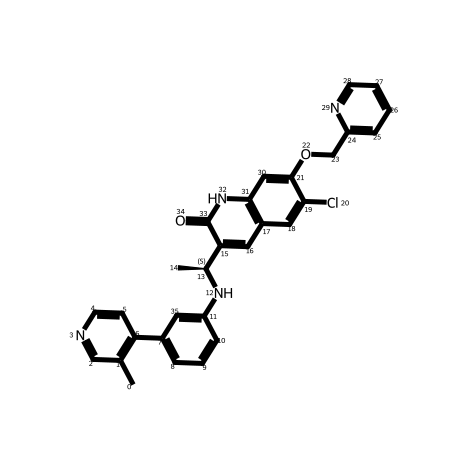 Cc1cnccc1-c1cccc(N[C@@H](C)c2cc3cc(Cl)c(OCc4ccccn4)cc3[nH]c2=O)c1